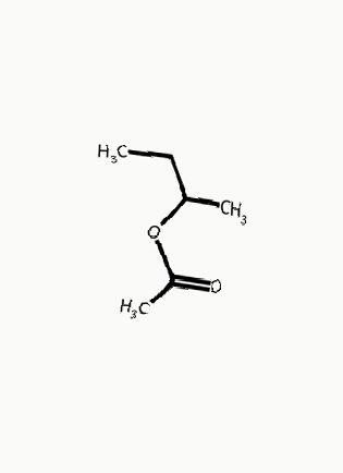 CC[C](C)OC(C)=O